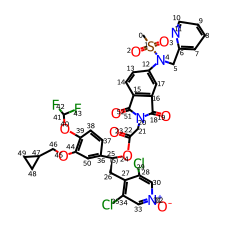 CS(=O)(=O)N(Cc1ccccn1)c1ccc2c(c1)C(=O)N(CC(=O)O[C@@H](Cc1c(Cl)c[n+]([O-])cc1Cl)c1ccc(OC(F)F)c(OCC3CC3)c1)C2=O